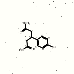 NC(=O)CC(CC(N)=O)c1ccc(F)cc1